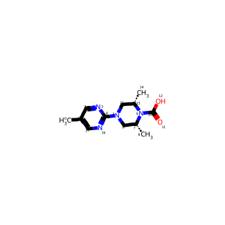 Cc1cnc(N2C[C@@H](C)N(C(=O)O)[C@@H](C)C2)nc1